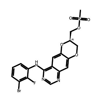 CS(=O)(=O)OC[C@H]1COc2cc3ncnc(Nc4cccc(Br)c4F)c3cc2O1